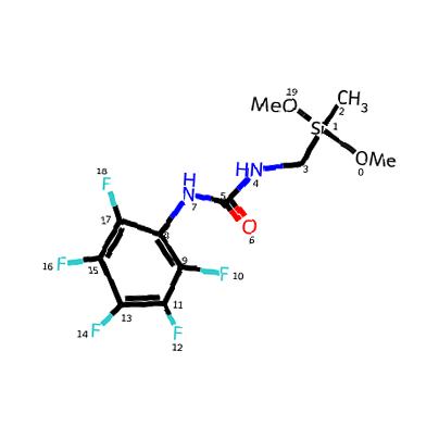 CO[Si](C)(CNC(=O)Nc1c(F)c(F)c(F)c(F)c1F)OC